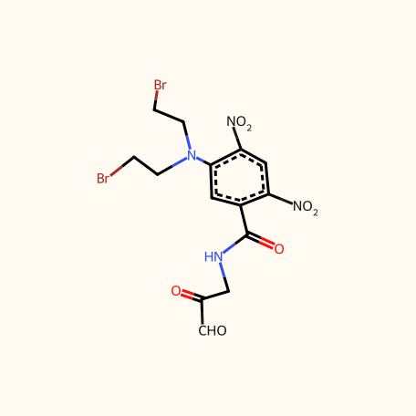 O=CC(=O)CNC(=O)c1cc(N(CCBr)CCBr)c([N+](=O)[O-])cc1[N+](=O)[O-]